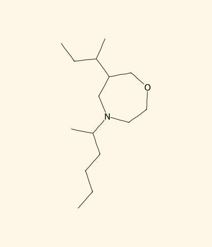 CCCCC(C)N1CCOCC(C(C)CC)C1